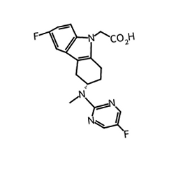 CN(c1ncc(F)cn1)[C@H]1CCc2c(c3cc(F)ccc3n2CC(=O)O)C1